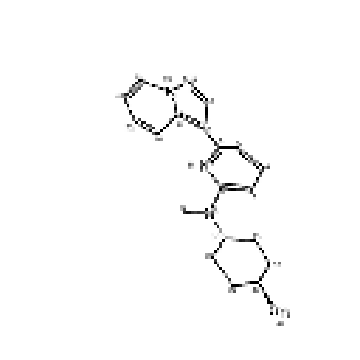 CN(c1cccc(-c2cnn3ccccc23)n1)[C@H]1CC[C@H](O)CC1